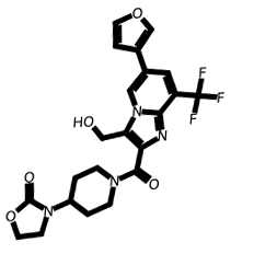 O=C(c1nc2c(C(F)(F)F)cc(-c3ccoc3)cn2c1CO)N1CCC(N2CCOC2=O)CC1